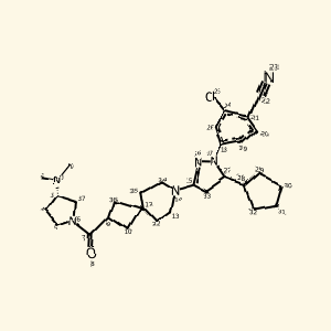 CN(C)[C@H]1CCN(C(=O)C2CC3(CCN(C4=NN(c5ccc(C#N)c(Cl)c5)C(C5CCCC5)C4)CC3)C2)C1